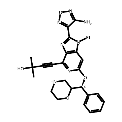 CCn1c(-c2nonc2N)nc2c(C#CC(C)(C)O)nc(O[C@@H](c3ccccc3)C3CNCCO3)cc21